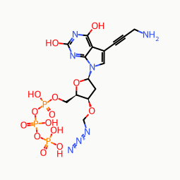 [N-]=[N+]=NCO[C@@H]1C[C@H](n2cc(C#CCN)c3c(O)nc(O)nc32)O[C@@H]1COP(=O)(O)OP(=O)(O)OP(=O)(O)O